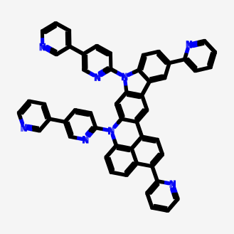 c1ccc(-c2ccc3c(c2)c2cc4c(cc2n3-c2ccc(-c3cccnc3)cn2)N(c2ccc(-c3cccnc3)cn2)c2cccc3c(-c5ccccn5)ccc-4c23)nc1